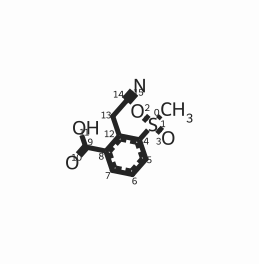 CS(=O)(=O)c1cccc(C(=O)O)c1CC#N